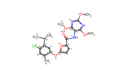 COc1nc(OC)c(NC(=O)c2ccc(Oc3cc(C(C)C)c(Cl)cc3C)o2)c(OC)n1